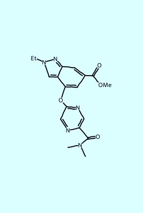 CCn1cc2c(Oc3cnc(C(=O)N(C)C)cn3)cc(C(=O)OC)cc2n1